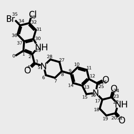 Cc1c(C(=O)N2CCC(c3ccc4c(c3)CN(C3CCC(=O)NC3=O)C4=O)CC2)[nH]c2cc(Cl)c(Br)cc12